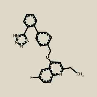 CCc1cc(OCc2ccc(-c3ccccc3-c3nnn[nH]3)cc2)c2cc(F)ccc2n1